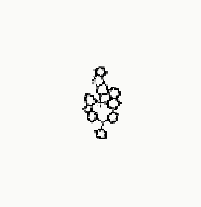 C[C@](c1cccc2ccccc12)(c1cccc2sc3ccc(N(c4ccccc4)c4ccccc4)cc3c12)C1CCC2c3ccccc3SC2C1